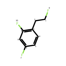 FCCc1ccc(F)cc1F